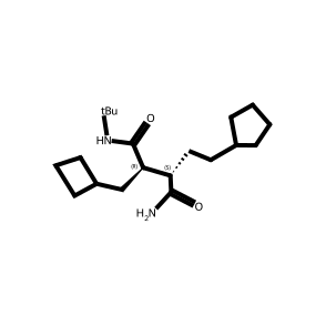 CC(C)(C)NC(=O)[C@H](CC1CCC1)[C@H](CCC1CCCC1)C(N)=O